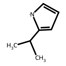 CC(C)C1=CC=C[N]1